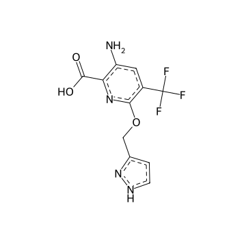 Nc1cc(C(F)(F)F)c(OCc2cc[nH]n2)nc1C(=O)O